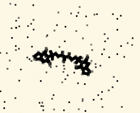 CC(C)(CCNC(=S)NCCC(C)(C)N1C(=O)C=C2SCCC2C1=O)N1C(=O)C=C2SCCC2C1=O